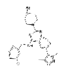 CC(=O)N1CCN(c2nc(NCc3cncc(Cl)c3)c3cc(-c4c(C)noc4C)ccc3n2)CC1